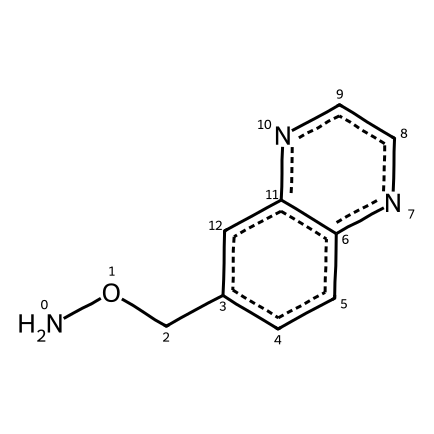 NOCc1ccc2nccnc2c1